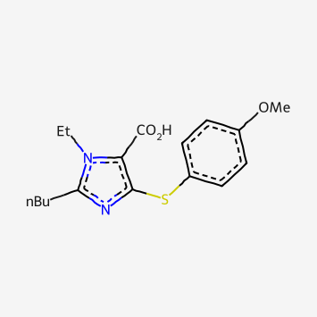 CCCCc1nc(Sc2ccc(OC)cc2)c(C(=O)O)n1CC